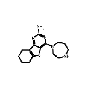 Nc1nc(N2CCCNCC2)c2sc3c(c2n1)CCCC3